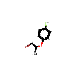 CCC(CBr)Oc1ccc(F)cc1